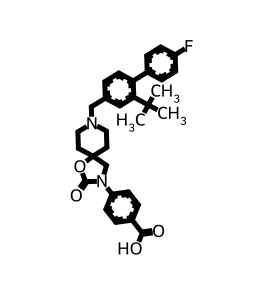 CC(C)(C)c1cc(CN2CCC3(CC2)CN(c2ccc(C(=O)O)cc2)C(=O)O3)ccc1-c1ccc(F)cc1